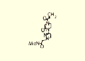 C=CC(=O)N1CCN(c2ccn(CCC(=O)NC)n2)C(=O)C1